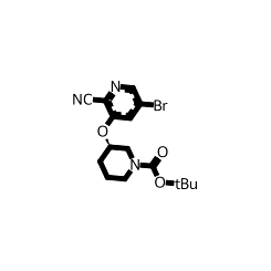 CC(C)(C)OC(=O)N1CCC[C@H](Oc2cc(Br)cnc2C#N)C1